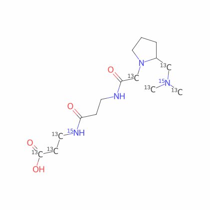 [13CH3][15N]([13CH3])[13CH2]C1CCCN1[13CH2]C(=O)NCCC(=O)[15NH][13CH2][13CH2][13C](=O)O